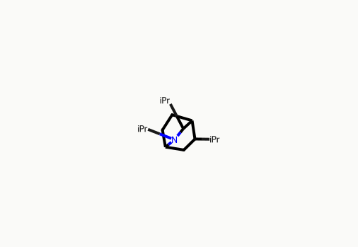 CC(C)C1CC2CCC1C(C(C)C)N2C(C)C